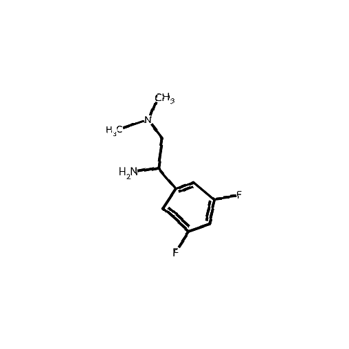 CN(C)CC(N)c1cc(F)cc(F)c1